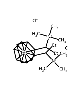 CCC([C]12[CH]3[CH]4[CH]5[CH]1[Fe]45321678[CH]2[CH]1[CH]6[C]7(C(CC)[N+](C)(C)C)[CH]28)[N+](C)(C)C.[Cl-].[Cl-]